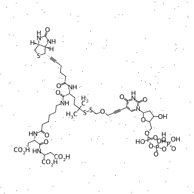 CC(C)(CCC(NC(=O)CCCC#C[C@@H]1SC[C@@H]2NC(=O)N[C@@H]21)C(=O)NCCCCCC(=O)NC(CC(=O)O)C(=O)NC(CC(=O)O)C(=O)O)SSCOCC#Cc1cn(C2CC(O)C(COP(=O)(O)OP(=O)(O)OP(=O)(O)O)O2)c(=O)[nH]c1=O